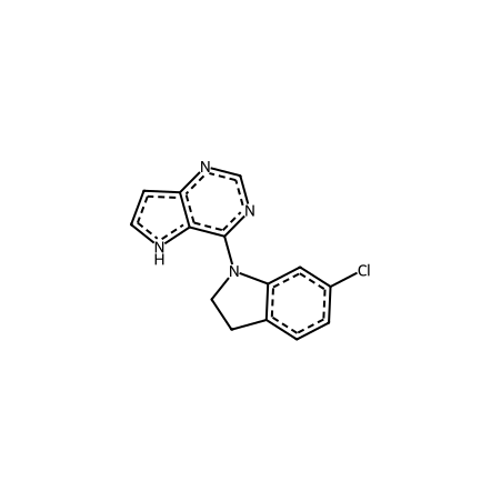 Clc1ccc2c(c1)N(c1ncnc3cc[nH]c13)CC2